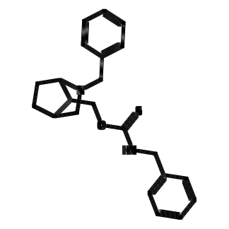 S=C(NCc1ccccc1)OCC1C2CCC1N(Cc1ccccc1)C2